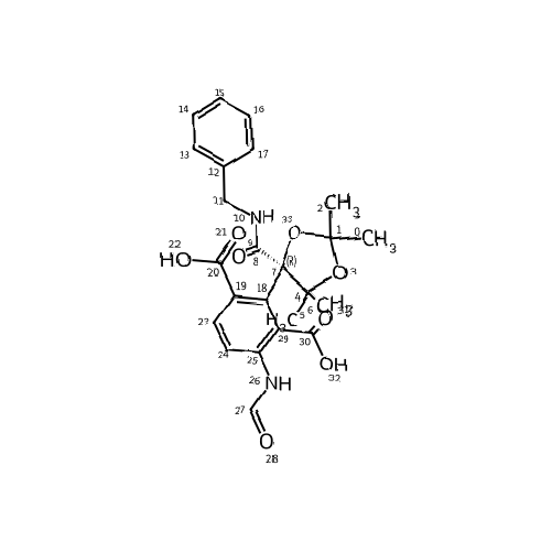 CC1(C)OC(C)(C)[C@@](C(=O)NCc2ccccc2)(c2c(C(=O)O)ccc(NC=O)c2C(=O)O)O1